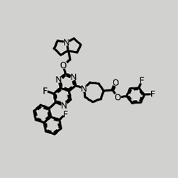 O=C(Oc1ccc(F)c(F)c1)C1CCCN(c2nc(OCC34CCCN3CCC4)nc3c(F)c(-c4cccc5cccc(F)c45)ncc23)CC1